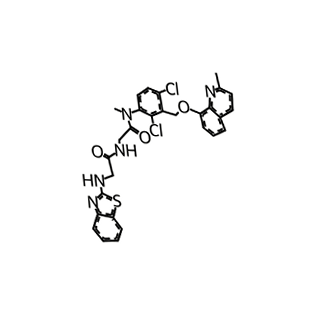 Cc1ccc2cccc(OCc3c(Cl)ccc(N(C)C(=O)CNC(=O)CNc4nc5ccccc5s4)c3Cl)c2n1